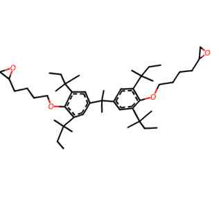 CCC(C)(C)c1cc(C(C)(C)c2cc(C(C)(C)CC)c(OCCCCC3CO3)c(C(C)(C)CC)c2)cc(C(C)(C)CC)c1OCCCCC1CO1